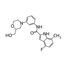 Cc1ccc(F)c2cc(C(=O)Nc3cccc(N4CCOC(CO)C4)c3)[nH]c12